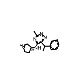 Cc1nnc(C(C)c2ccccc2)c(N[C@H]2CCN(C)C2)n1